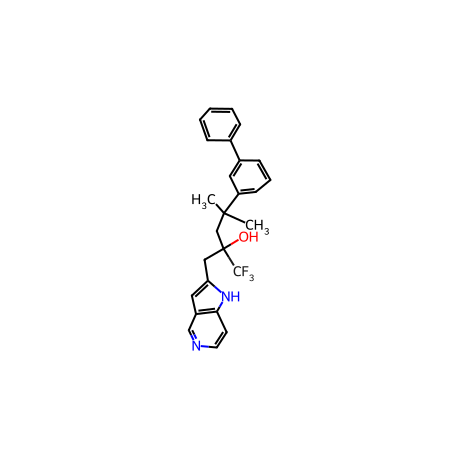 CC(C)(CC(O)(Cc1cc2cnccc2[nH]1)C(F)(F)F)c1cccc(-c2ccccc2)c1